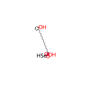 O=P(O)(CCCCCCCCCCCCCCCc1ccccc1O)O[SeH]